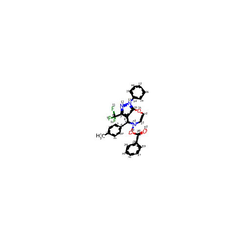 Cc1ccc(C2c3c(C(F)(F)F)nn(-c4ccccc4)c3OC=CN2OC(=O)c2ccccc2)cc1